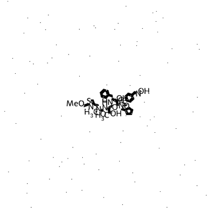 COCc1nc(CN(C)C(=O)N[C@H](C(=O)N[C@@H](Cc2ccccc2)[C@H](O)CN(CC2CCCC2)S(=O)(=O)c2ccc(C=NO)cc2)[C@H](C)O)cs1